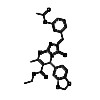 CCOC(=O)C1=C(C)N=c2s/c(=C\c3cccc(OC(C)=O)c3)c(=O)n2C1c1ccc2c(c1)OCO2